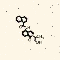 CC(CO)n1ccc2c(NC(=O)c3cccc4ccccc34)cccc2c1=O